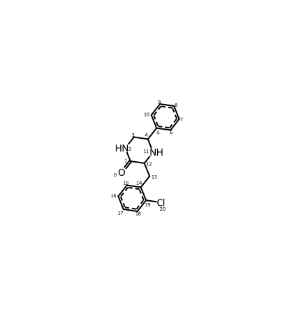 O=C1NCC(c2ccccc2)NC1Cc1ccccc1Cl